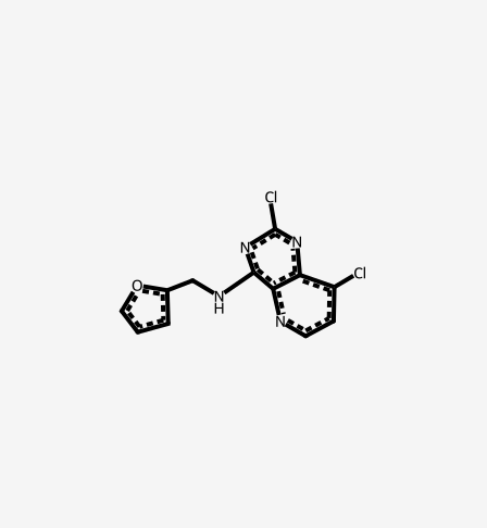 Clc1nc(NCc2ccco2)c2nccc(Cl)c2n1